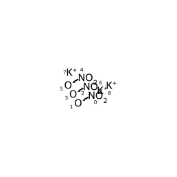 O=[N+]([O-])[O-].O=[N+]([O-])[O-].O=[N+]([O-])[O-].[K+].[K+].[K+]